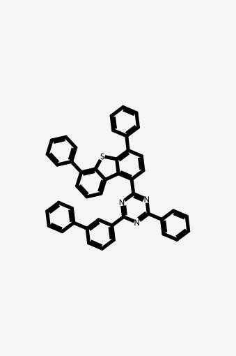 c1ccc(-c2cccc(-c3nc(-c4ccccc4)nc(-c4ccc(-c5ccccc5)c5sc6c(-c7ccccc7)cccc6c45)n3)c2)cc1